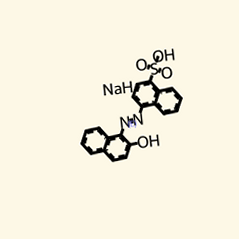 O=S(=O)(O)c1ccc(/N=N/c2c(O)ccc3ccccc23)c2ccccc12.[NaH]